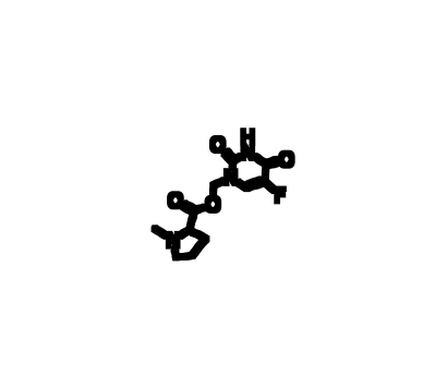 CN1CCCC1C(=O)OCn1cc(F)c(=O)[nH]c1=O